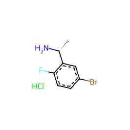 C[C@@H](N)c1cc(Br)ccc1F.Cl